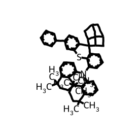 CC1(C)CCC(C)(C)c2c(N(c3cccc4c3Sc3cc(-c5ccccc5)ccc3C43C4CC5CC6CC3C64C5)c3cccc4c3C(C)(C)CCC4(C)C)cccc21